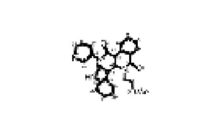 COCCN1C(=O)c2ccccc2C(C(=O)Nc2cccnc2)C1c1c[nH]c2ccccc12